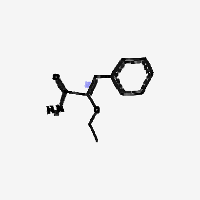 CCO/C(=C\c1ccccc1)C(N)=O